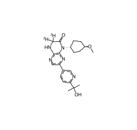 [2H]C1([2H])Nc2ncc(-c3ccc(C(C)(C)O)nc3)nc2N([C@H]2CC[C@H](OC)CC2)C1=O